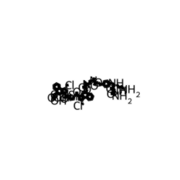 CN(CCN(C)C(=O)Oc1cc2c(c3ccccc13)[C@H](CCl)CN2C(=O)c1ccc(C(=O)N2C[C@@H](CCl)c3c2cc(OP(=O)(O)O)c2ccccc32)s1)C(=O)OCc1ccc(N[C@@H](CCCN)C(=O)NC(N)=O)cc1